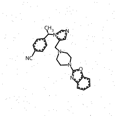 C[C@H](c1ccc(C#N)cc1)n1cncc1CN1CCN(c2nc3ccccc3o2)CC1